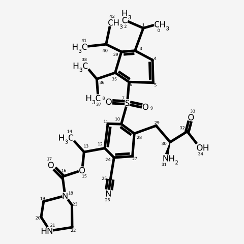 CC(C)c1ccc(S(=O)(=O)c2cc(C(C)OC(=O)N3CCNCC3)c(C#N)cc2C[C@H](N)C(=O)O)c(C(C)C)c1C(C)C